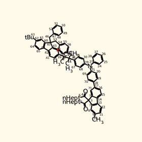 CCCCCCCC(=O)C1(C(=O)CCCCCCC)c2cc(C)ccc2-c2ccc(-c3ccc(N(c4ccccc4)c4ccc(C(C)(C)C(C)(C)c5ccc6c(c5)C(Cc5ccccc5)(Cc5ccccc5)c5cc(C(C)(C)C)ccc5-6)cc4)cc3)cc21